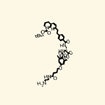 COC(=O)[C@H](CNC(=O)c1ccc(CCc2ccc3c(n2)N(C(=O)OC(C)(C)C)CCC3)cc1)NS(=O)(=O)c1c(C)cc(OCCCC(=O)NCCN)cc1C